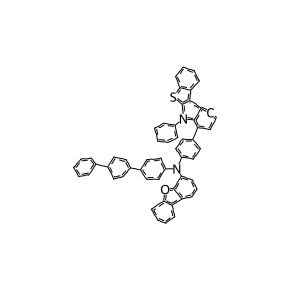 c1ccc(-c2ccc(-c3ccc(N(c4ccc(-c5cccc6c7c8ccccc8sc7n(-c7ccccc7)c56)cc4)c4cccc5c4oc4ccccc45)cc3)cc2)cc1